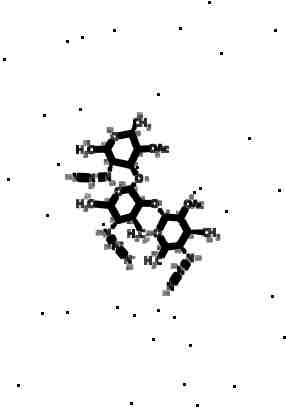 CC(=O)OC1[C@@H](OC2[C@@H](O[C@@H]3C(OC(C)=O)[C@@H](C)OC(C)[C@H]3N=[N+]=[N-])OC(C)[C@@H](N=[N+]=[N-])[C@@H]2C)OC(C)[C@@H](N=[N+]=[N-])[C@@H]1C